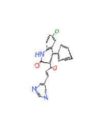 O=C(C=Cc1cncnc1)c1c(-c2ccccc2)c2cc(Cl)ccc2[nH]c1=O